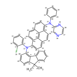 CC1(C)c2ccccc2-c2c(N(c3ccccc3F)c3ccc4ccc5c(N(c6ccccc6)c6cnccn6)ccc6ccc3c4c65)cccc21